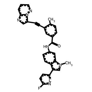 Cc1ccc(C(=O)Nc2ccc3c(-c4ccc(F)nc4)cn(C)c3c2)cc1C#Cc1cnc2cccnn12